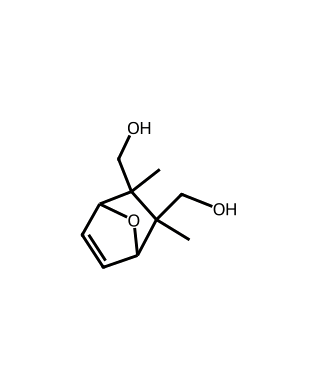 CC1(CO)C2C=CC(O2)C1(C)CO